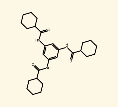 O=C(Nc1cc(NC(=O)C2CCCCC2)cc(NC(=O)C2CCCCC2)c1)C1CCCCC1